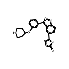 O=c1[nH]c(-c2ccc3noc(-c4cccc(OC5CCNCC5)c4)c3c2)no1